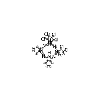 Clc1ccc2c(c1Cl)-c1nc-2nc2[nH]c(nc3nc(nc4[nH]c(n1)c1c(Cl)c(Cl)c(Cl)c(Cl)c41)-c1ccccc1-3)c1ccccc21